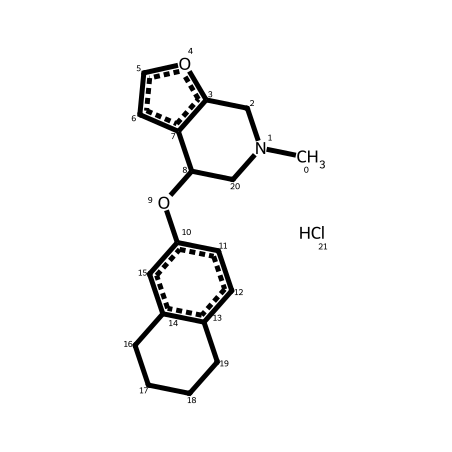 CN1Cc2occc2C(Oc2ccc3c(c2)CCCC3)C1.Cl